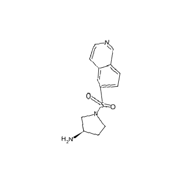 N[C@@H]1CCN(S(=O)(=O)c2ccc3cnccc3c2)C1